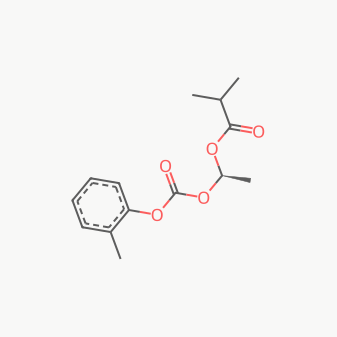 Cc1ccccc1OC(=O)O[C@H](C)OC(=O)C(C)C